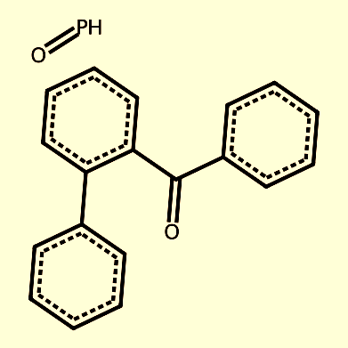 O=C(c1ccccc1)c1ccccc1-c1ccccc1.O=P